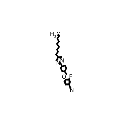 CCCCCCCCCc1cnc(C2CCC(COc3ccc(C#N)cc3F)CC2)nc1